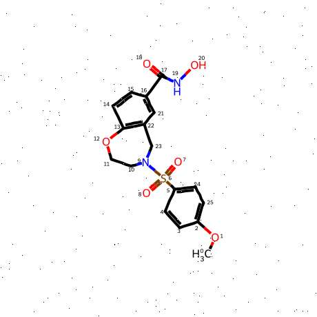 COc1ccc(S(=O)(=O)N2CCOc3ccc(C(=O)NO)cc3C2)cc1